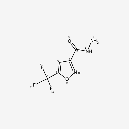 NNC(=O)c1cc(C(F)(F)F)on1